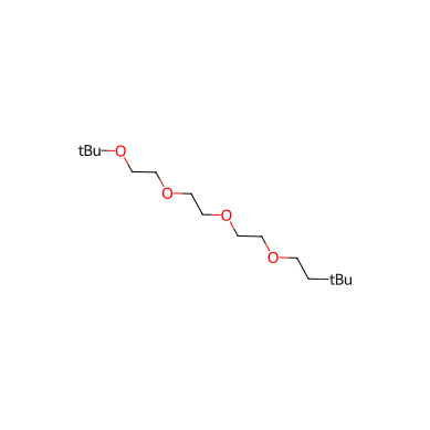 CC(C)(C)CCOCCOCCOCCOC(C)(C)C